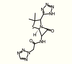 CC1(C)S[C@@H]2C(NC(=O)Cn3ncnn3)C(=O)N2C1c1nnn[nH]1